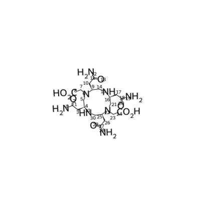 NC(=O)C[C@H]1CN(CC(=O)O)[C@@H](CC(N)=O)CN[C@@H](CC(N)=O)CN(CC(=O)O)[C@@H](CC(N)=O)CN1